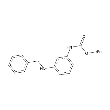 CC(C)(C)OC(=O)Nc1cccc(NCc2ccccc2)c1